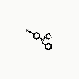 N#Cc1ccc(N(Cc2ccccc2)n2ccnc2)cc1